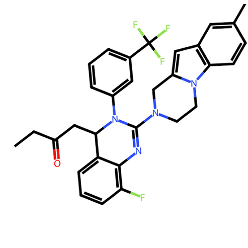 CCC(=O)CC1c2cccc(F)c2N=C(N2CCn3c(cc4cc(C)ccc43)C2)N1c1cccc(C(F)(F)F)c1